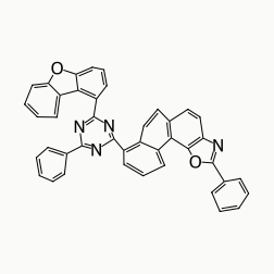 c1ccc(-c2nc(-c3cccc4c3ccc3ccc5nc(-c6ccccc6)oc5c34)nc(-c3cccc4oc5ccccc5c34)n2)cc1